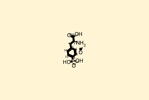 C=O.N[C@@H](Cc1ccc(P(=O)(O)O)cc1)C(=O)O